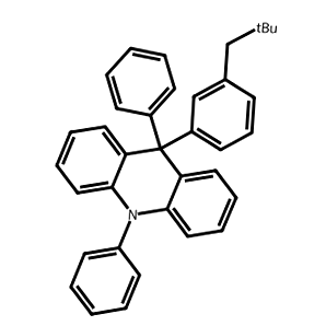 CC(C)(C)Cc1cccc(C2(c3ccccc3)c3ccccc3N(c3ccccc3)c3ccccc32)c1